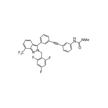 CNC(=O)Nc1cccc(C#Cc2cccc(-c3c4cccc(C(F)(F)F)c4nn3Cc3c(F)cc(F)cc3F)c2)c1